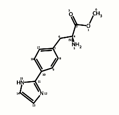 COC(=O)[C@@H](N)Cc1ccc(-c2ncc[nH]2)cc1